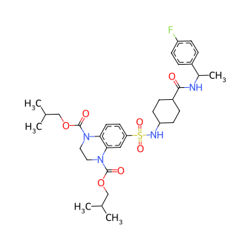 CC(C)COC(=O)N1CCN(C(=O)OCC(C)C)c2cc(S(=O)(=O)NC3CCC(C(=O)NC(C)c4ccc(F)cc4)CC3)ccc21